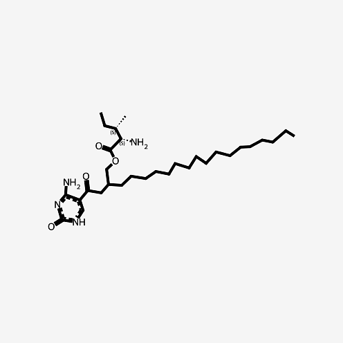 CCCCCCCCCCCCCCCCCC(COC(=O)[C@@H](N)[C@@H](C)CC)CC(=O)c1c[nH]c(=O)nc1N